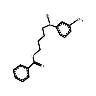 CCN(CCCCOC(=O)c1ccccc1)c1cccc(C)c1